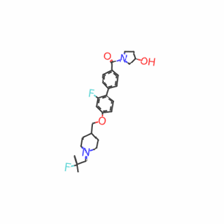 CC(C)(F)CN1CCC(COc2ccc(-c3ccc(C(=O)N4CC[C@@H](O)C4)cc3)c(F)c2)CC1